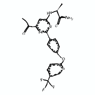 CC(=O)c1cc(N[C@@H](C)C(N)=O)nc(-c2ccc(Oc3ccc(C(F)(F)F)cn3)cc2)n1